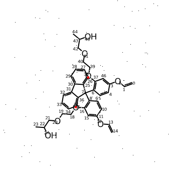 C=COc1ccc(C2(c3ccc(OC=C)cc3OCCOCC(C)O)c3ccccc3-c3ccccc32)c(OCCOCC(C)O)c1